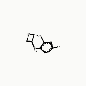 CCc1ccc(NC2CNC2)c([N+](=O)[O-])c1